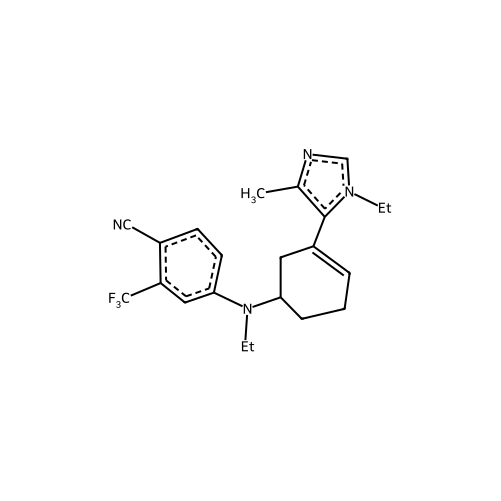 CCN(c1ccc(C#N)c(C(F)(F)F)c1)C1CCC=C(c2c(C)ncn2CC)C1